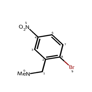 CNCc1cc([N+](=O)[O-])ccc1Br